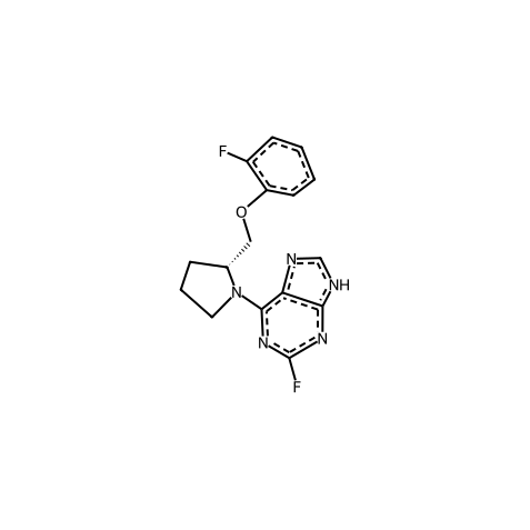 Fc1nc(N2CCC[C@@H]2COc2ccccc2F)c2nc[nH]c2n1